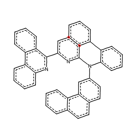 c1ccc(-c2ccccc2N(c2ccc3ccc4ccccc4c3c2)c2cccc(-c3nc4ccccc4c4ccccc34)n2)cc1